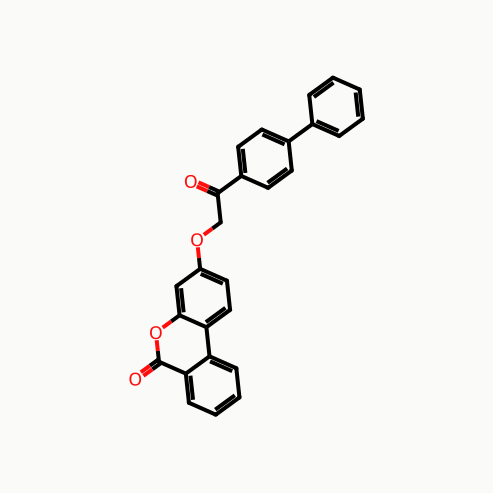 O=C(COc1ccc2c(c1)oc(=O)c1ccccc12)c1ccc(-c2ccccc2)cc1